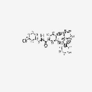 O=C(NCc1cccc(Cl)c1)c1ccc2c(c1)N=C([N+]1([O-])CCCCC1)c1ccccc1S2